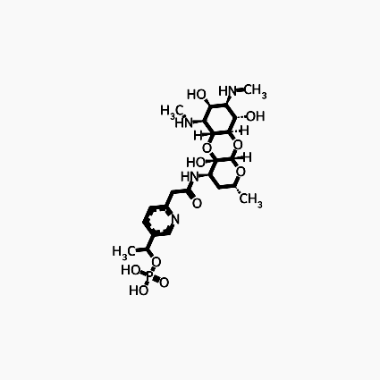 CN[C@@H]1[C@H](O)[C@H](NC)[C@H]2O[C@]3(O)[C@H](O[C@@H]2[C@H]1O)O[C@H](C)C[C@H]3NC(=O)Cc1ccc(C(C)OP(=O)(O)O)cn1